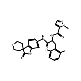 Cn1nccc1C(=O)NC(Cc1c(F)cccc1Cl)C(=O)Nc1ccc2c(c1)NC(=O)C21CCOCC1